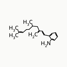 C=C(/C=C/c1ccccc1N)CC(C)CCC=C(C)C